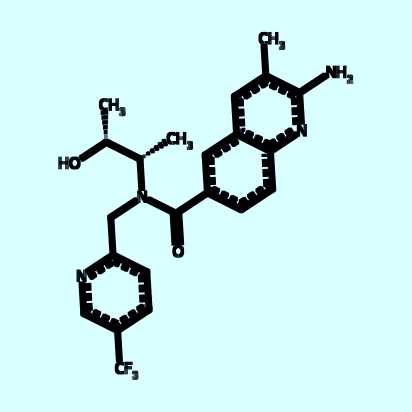 Cc1cc2cc(C(=O)N(Cc3ccc(C(F)(F)F)cn3)[C@@H](C)[C@@H](C)O)ccc2nc1N